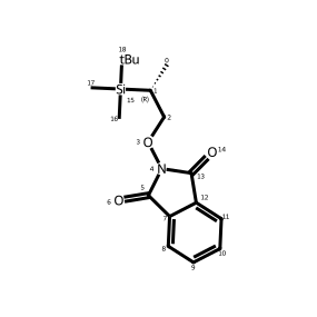 C[C@H](CON1C(=O)c2ccccc2C1=O)[Si](C)(C)C(C)(C)C